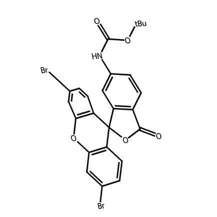 CC(C)(C)OC(=O)Nc1ccc2c(c1)C1(OC2=O)c2ccc(Br)cc2Oc2cc(Br)ccc21